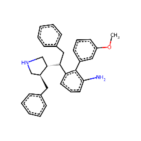 COc1cccc(-c2c(N)cccc2C(Cc2ccccc2)[C@H]2CNC[C@@H]2Cc2ccccc2)c1